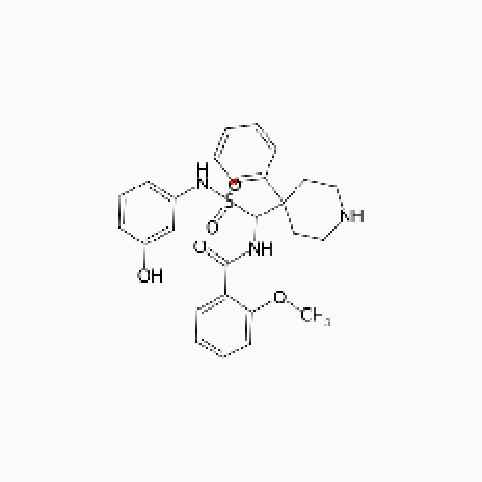 COc1ccccc1C(=O)NC(C1(c2ccccc2)CCNCC1)S(=O)(=O)Nc1cccc(O)c1